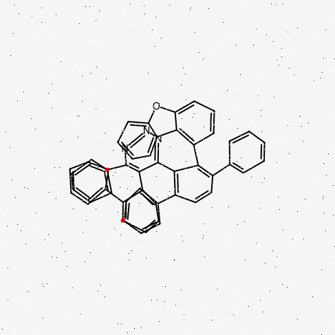 c1ccc(-c2ccccc2-c2c(-c3ccccc3)nnnc2-c2c(-c3ccccc3)ccc(-c3ccccc3)c2-c2cccc3oc4ccccc4c23)cc1